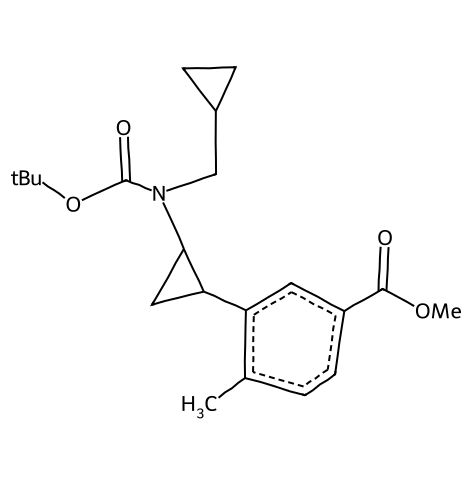 COC(=O)c1ccc(C)c(C2CC2N(CC2CC2)C(=O)OC(C)(C)C)c1